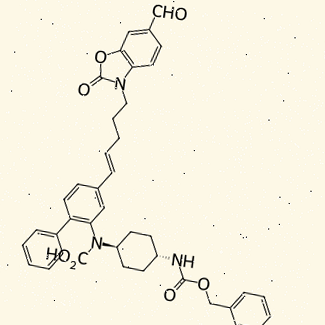 O=Cc1ccc2c(c1)oc(=O)n2CCCC=Cc1ccc(-c2ccccc2)c(N(C(=O)O)[C@H]2CC[C@H](NC(=O)OCc3ccccc3)CC2)c1